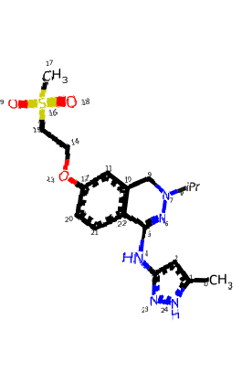 Cc1cc(NC2=NN(C(C)C)Cc3cc(OCCS(C)(=O)=O)ccc32)n[nH]1